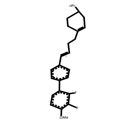 CCCC1CC=C(CC/C=C/c2ccc(-c3ccc(OC)c(F)c3F)cc2)CC1